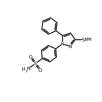 CSc1cc(-c2ccccc2)n(-c2ccc(S(N)(=O)=O)cc2)n1